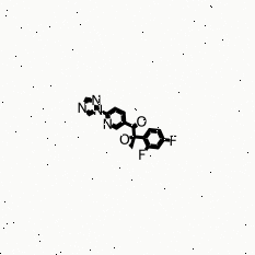 O=C(c1ccc(-n2cncn2)nc1)C1(c2ccc(F)cc2F)CO1